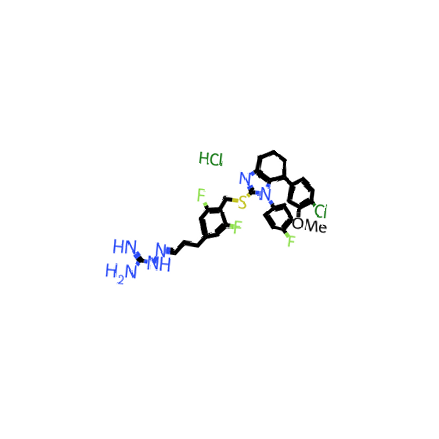 COc1cc(C2CCCc3nc(SCc4c(F)cc(CC/C=N/NC(=N)N)cc4F)n(-c4ccc(F)cc4)c32)ccc1Cl.Cl